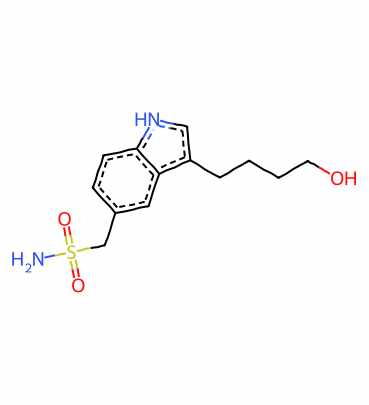 NS(=O)(=O)Cc1ccc2[nH]cc(CCCCO)c2c1